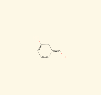 OC=C1C=CC=C(O)C1